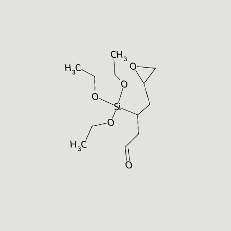 CCO[Si](OCC)(OCC)C(CC=O)CC1CO1